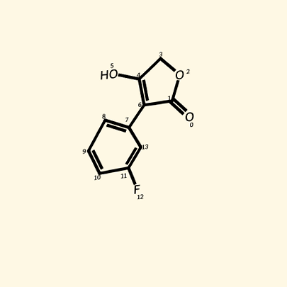 O=C1OCC(O)=C1c1cccc(F)c1